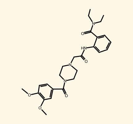 CCN(CC)C(=O)c1ccccc1NC(=O)CN1CCN(C(=O)c2ccc(OC)c(OC)c2)CC1